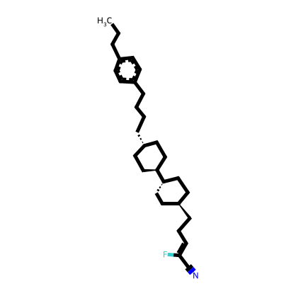 CCCc1ccc(CCCC[C@H]2CC[C@H]([C@H]3CC[C@H](CCC=C(F)C#N)CC3)CC2)cc1